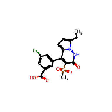 CCc1ccc2c(-c3cc(Br)cc(C(=O)O)c3)c(S(C)(=O)=O)c(=O)[nH]n12